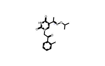 C/C(=N\OC(C)C)c1cn(CC(=O)c2ccccc2I)c(=O)[nH]c1=O